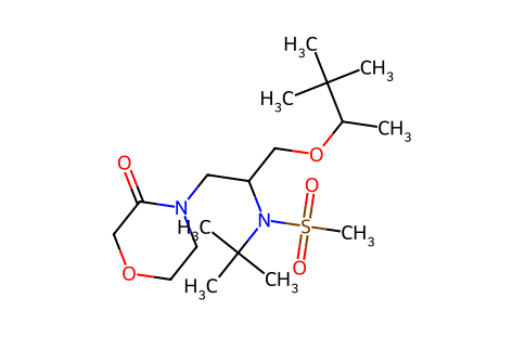 CC(OCC(CN1CCOCC1=O)N(C(C)(C)C)S(C)(=O)=O)C(C)(C)C